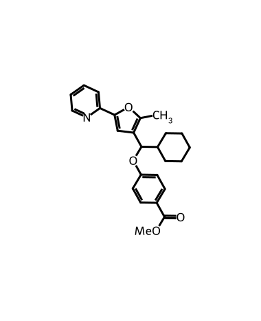 COC(=O)c1ccc(OC(c2cc(-c3ccccn3)oc2C)C2CCCCC2)cc1